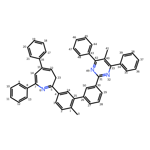 Cc1ccc(C2=NC(c3ccccc3)=CC(c3ccccc3)=CC2)cc1-c1cccc(-c2nc(-c3ccccc3)c(C)c(-c3ccccc3)n2)c1